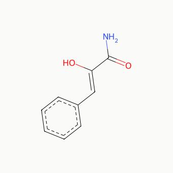 NC(=O)/C(O)=C/c1ccccc1